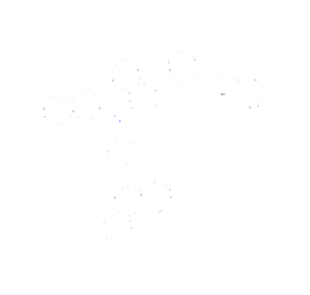 c1cc(-c2cc3ccccc3o2)cc(-c2ccc(N(c3ccc(-c4cc5ccccc5c5ccccc45)cc3)c3ccc4ccccc4c3)c3ccccc23)c1